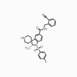 C[C@H]1N(S(=O)(=O)c2ccc(F)cc2)c2ccc(C(=O)NCc3ccccc3C#N)cc2C12CCNCC2